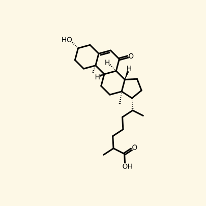 CC(CCCC(C)[C@H]1CC[C@H]2[C@@H]3C(=O)C=C4C[C@@H](O)CC[C@]4(C)[C@H]3CC[C@]12C)C(=O)O